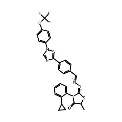 CC1S/C(=N/N=C/c2ccc(-c3ncn(-c4ccc(OC(F)(F)F)cc4)n3)cc2)N(c2ccccc2C2CC2)C1=O